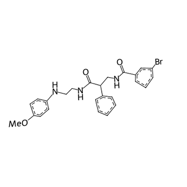 COc1ccc(NCCNC(=O)C(CNC(=O)c2cccc(Br)c2)c2ccccc2)cc1